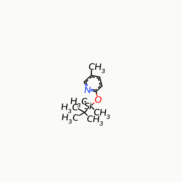 Cc1ccc(O[Si](C)(C)C(C)(C)C)nc1